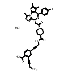 Cc1sc2c(c1C)C(c1ccc(Cl)cc1)=N[C@@H](CC(=O)N1CCC(C(=O)NCC#Cc3ccc(C(=O)O)c(C#CCN)c3)CC1)c1nnc(C)n1-2.Cl